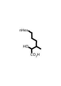 CCCCCCCCCC(C)C(O)C(=O)O